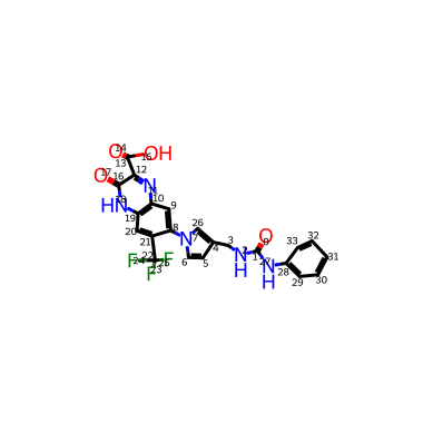 O=C(NCc1ccn(-c2cc3nc(C(=O)O)c(=O)[nH]c3cc2C(F)(F)F)c1)Nc1ccccc1